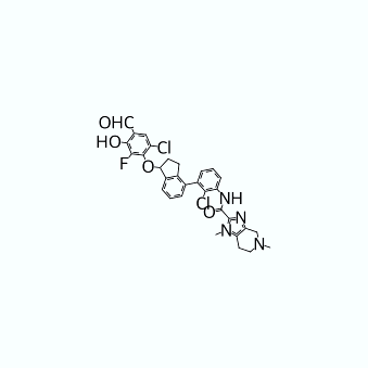 CN1CCc2c(nc(C(=O)Nc3cccc(-c4cccc5c4CCC5Oc4c(Cl)cc(C=O)c(O)c4F)c3Cl)n2C)C1